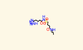 CCCNC(=O)CCCS(=O)(=O)NC(=O)CCCc1nnn[nH]1